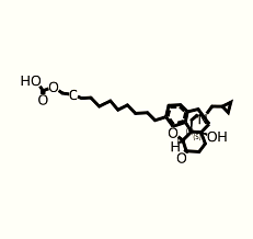 O=C(O)OCCCCCCCCCCCc1ccc2c3c1O[C@H]1C(=O)CC[C@@]4(O)C(C2)N(CC2CC2)CC[C@]314